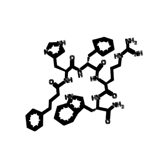 N=C(N)NCCC[C@H](NC(=O)[C@@H](Cc1ccccc1)NC(=O)[C@H](Cc1c[nH]cn1)NC(=O)CCCc1ccccc1)C(=O)N[C@@H](Cc1c[nH]c2ccccc12)C(N)=O